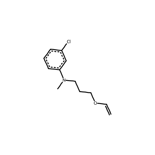 C=COCCCN(C)c1cccc(Cl)c1